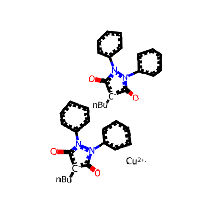 CCCC[c-]1c(=O)n(-c2ccccc2)n(-c2ccccc2)c1=O.CCCC[c-]1c(=O)n(-c2ccccc2)n(-c2ccccc2)c1=O.[Cu+2]